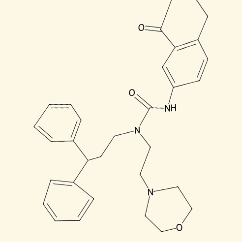 O=C1CCCc2ccc(NC(=O)N(CCC(c3ccccc3)c3ccccc3)CCN3CCOCC3)cc21